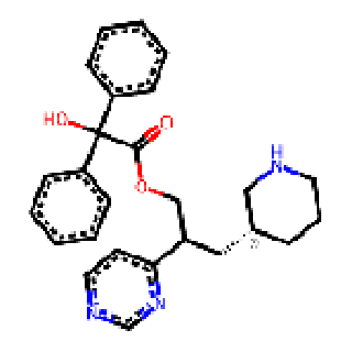 O=C(OCC(C[C@H]1CCCNC1)c1ccncn1)C(O)(c1ccccc1)c1ccccc1